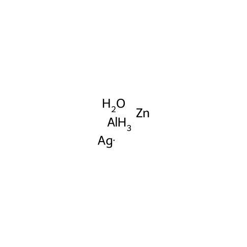 O.[Ag].[AlH3].[Zn]